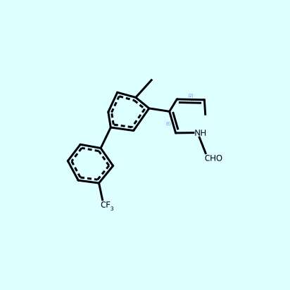 C/C=C\C(=C/NC=O)c1cc(-c2cccc(C(F)(F)F)c2)ccc1C